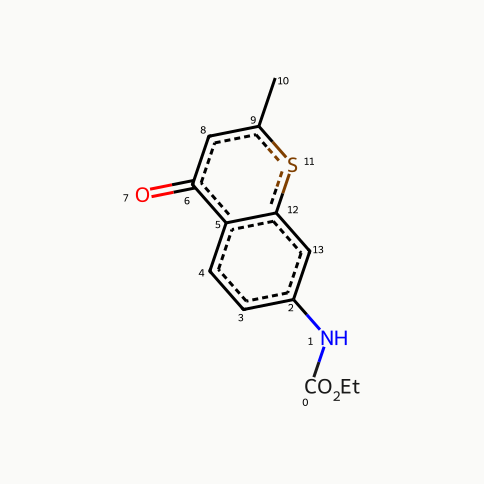 CCOC(=O)Nc1ccc2c(=O)cc(C)sc2c1